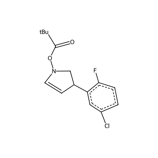 CC(C)(C)C(=O)ON1C=CC(c2cc(Cl)ccc2F)C1